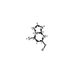 FCc1cc([S])n2ncnc2n1